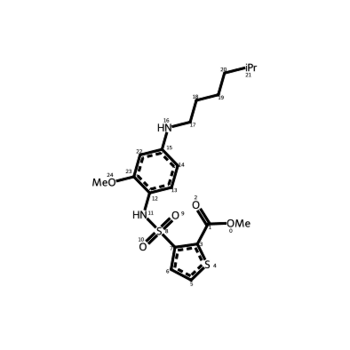 COC(=O)c1sccc1S(=O)(=O)Nc1ccc(NCCCCC(C)C)cc1OC